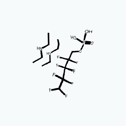 CCNCC.CCNCC.O=P(O)(O)OCC(F)(F)C(F)(F)C(F)(F)C(F)F